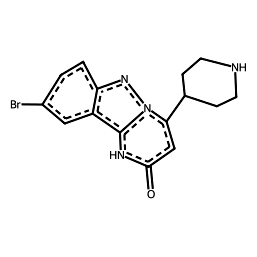 O=c1cc(C2CCNCC2)n2nc3ccc(Br)cc3c2[nH]1